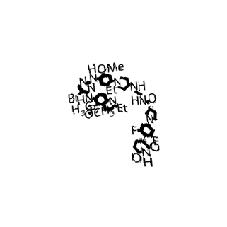 CCc1ccc2c(P(C)(C)=O)c(Nc3nc(Nc4cc(CC)c(N5CCC(NCCNC(=O)[C@@H]6CCN(c7cc(F)c([C@H]8CCC(=O)NC8=O)c(F)c7)C6)CC5)cc4OC)ncc3Br)ccc2n1